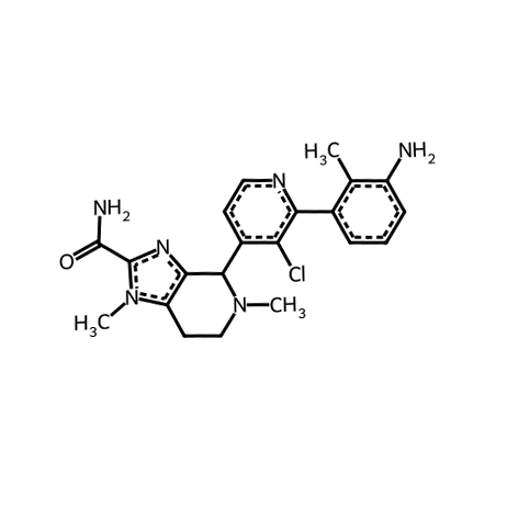 Cc1c(N)cccc1-c1nccc(C2c3nc(C(N)=O)n(C)c3CCN2C)c1Cl